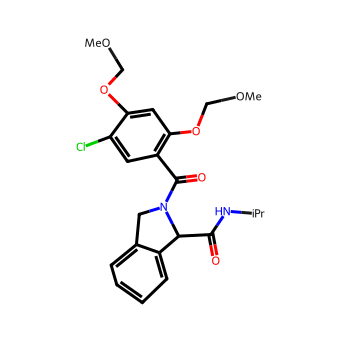 COCOc1cc(OCOC)c(C(=O)N2Cc3ccccc3C2C(=O)NC(C)C)cc1Cl